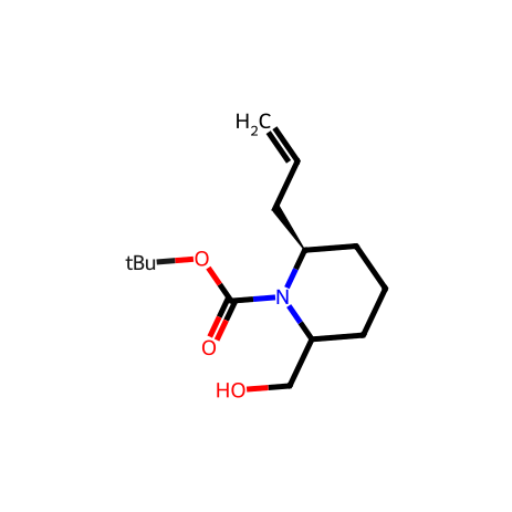 C=CC[C@H]1CCCC(CO)N1C(=O)OC(C)(C)C